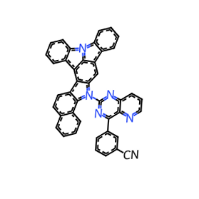 N#Cc1cccc(-c2nc(-n3c4cc5c6ccccc6n6c7ccccc7c(c4c4ccc7ccccc7c43)c56)nc3cccnc23)c1